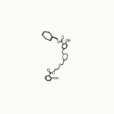 O=C(OCCOCC1CCCC(Cc2ccc(O)c(C(=O)OCC3CCCCC3)c2)C1)c1ccccc1O